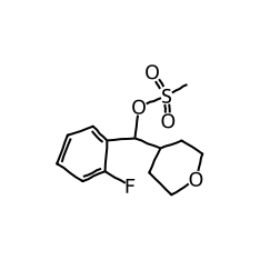 CS(=O)(=O)OC(c1ccccc1F)C1CCOCC1